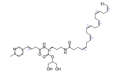 CC/C=C\C/C=C\C/C=C\C/C=C\C/C=C\C/C=C\CCC(=O)NCCC[C@H](NC(=O)C/C=C/c1ccc(C)nc1)C(=O)OC(CO)CO